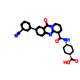 N#Cc1cccc(-c2ccc3nc4c(C(=O)N[C@H]5CC[C@@H](C(=O)O)CC5)cccn4c(=O)c3c2)c1